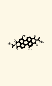 CCCCC(C)N1C(=O)c2ccc3c4c(C(F)(F)F)cc5c6c(ccc(c7c(C(F)(F)F)cc(c2c37)C1=O)c64)C(=O)N(C(C)CCCC)C5=O